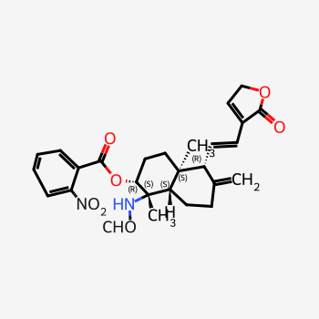 C=C1CC[C@H]2[C@@](C)(CC[C@@H](OC(=O)c3ccccc3[N+](=O)[O-])[C@@]2(C)NC=O)[C@@H]1C=CC1=CCOC1=O